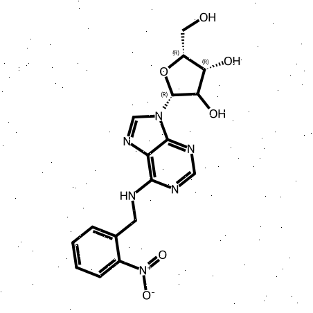 O=[N+]([O-])c1ccccc1CNc1ncnc2c1ncn2[C@@H]1O[C@H](CO)[C@H](O)C1O